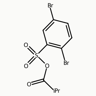 CC(C)C(=O)OS(=O)(=O)c1cc(Br)ccc1Br